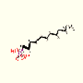 CCCCCCCCC/C=C/P(=O)(O)O